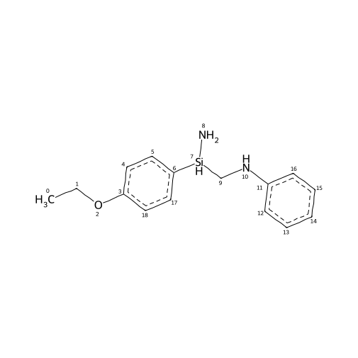 CCOc1ccc([SiH](N)CNc2ccccc2)cc1